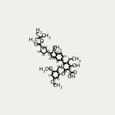 CCc1c(O)c(C(=O)O)c(=O)n(Cc2ccc(OC)cc2OC)c1-c1ccc2c(c1)cc(C1CCN(C(=O)OC(C)(C)C)C1)n2C